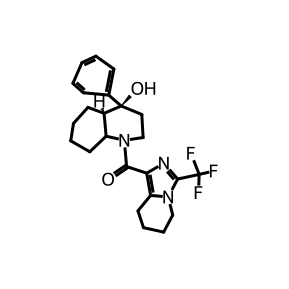 O=C(c1nc(C(F)(F)F)n2c1CCCC2)N1CC[C@@](O)(c2ccccc2)[C@@H]2CCCCC21